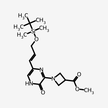 COC(=O)C1CN(c2nc(C=CCO[Si](C)(C)C(C)(C)C)c[nH]c2=O)C1